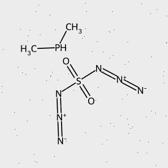 CPC.[N-]=[N+]=NS(=O)(=O)N=[N+]=[N-]